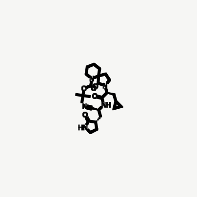 CC(C)(C)OC(=O)N1CCCCC12CCN([C@@H](CC1CC1)C(=O)N[C@H](C#N)C[C@@H]1CCNC1=O)C2=O